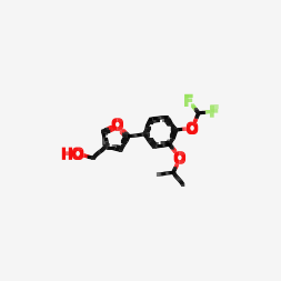 CC(C)Oc1cc(-c2cc(CO)co2)ccc1OC(F)F